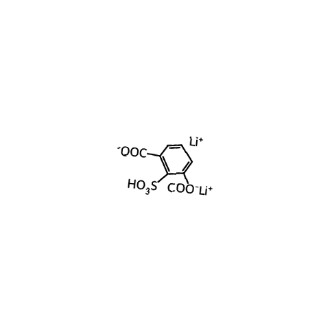 O=C([O-])c1cccc(C(=O)[O-])c1S(=O)(=O)O.[Li+].[Li+]